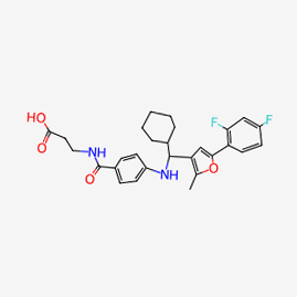 Cc1oc(-c2ccc(F)cc2F)cc1C(Nc1ccc(C(=O)NCCC(=O)O)cc1)C1CCCCC1